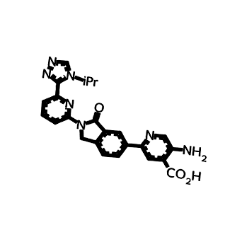 CC(C)n1cnnc1-c1cccc(N2Cc3ccc(-c4cc(C(=O)O)c(N)cn4)cc3C2=O)n1